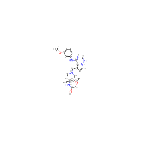 COc1cccc(Nc2ncnn3ccc(CN4CC[C@H]5NC(=O)CO[C@@H]5C4)c23)c1